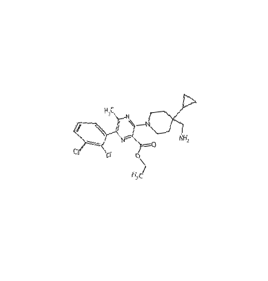 CCOC(=O)c1nc(-c2cccc(Cl)c2Cl)c(C)nc1N1CCC(CN)(C2CC2)CC1